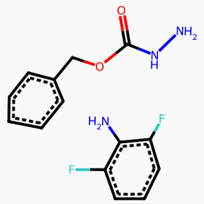 NNC(=O)OCc1ccccc1.Nc1c(F)cccc1F